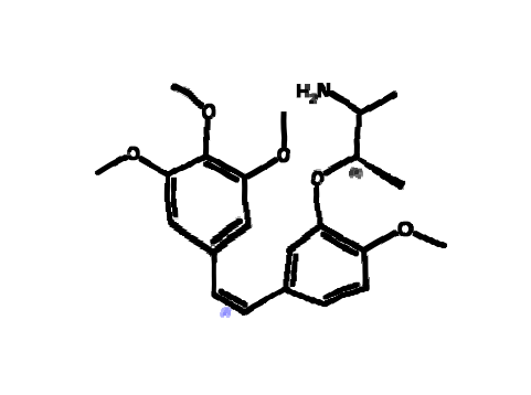 COc1ccc(/C=C\c2cc(OC)c(OC)c(OC)c2)cc1O[C@H](C)C(C)N